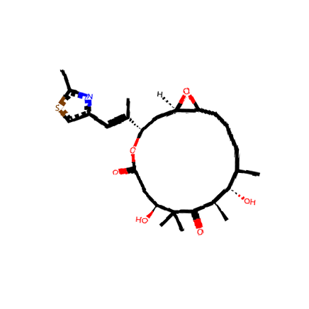 C/C(=C\c1csc(C)n1)[C@@H]1C[C@H]2OC2CCCC(C)[C@H](O)[C@@H](C)C(=O)C(C)(C)[C@@H](O)CC(=O)O1